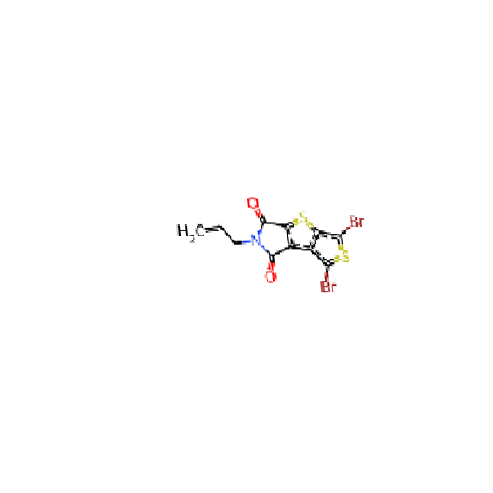 C=CCN1C(=O)c2sc3c(Br)sc(Br)c3c2C1=O